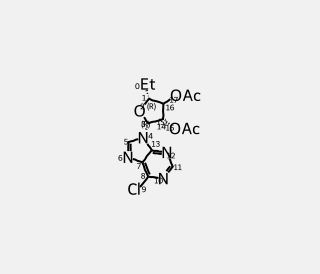 CC[C@H]1O[C@@H](n2cnc3c(Cl)ncnc32)[C@@H](OC(C)=O)C1OC(C)=O